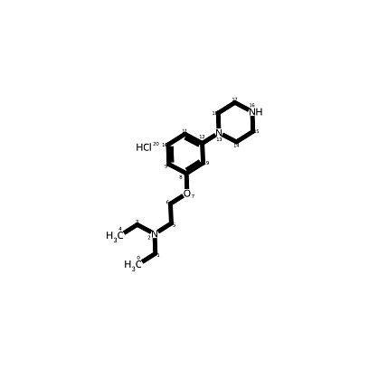 CCN(CC)CCOc1cccc(N2CCNCC2)c1.Cl